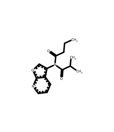 CCCC(=O)N(C(=O)C(C)C)c1coc2ncccc12